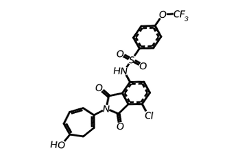 O=C1c2c(Cl)ccc(NS(=O)(=O)c3ccc(OC(F)(F)F)cc3)c2C(=O)N1C1=CCC(O)=CC=C1